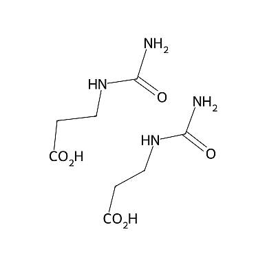 NC(=O)NCCC(=O)O.NC(=O)NCCC(=O)O